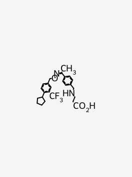 CC(=NOCc1ccc(C2CCCC2)c(C(F)(F)F)c1)c1ccc(CNCCC(=O)O)cc1